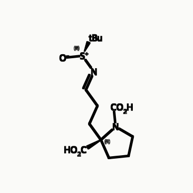 CC(C)(C)[S@+]([O-])N=CCC[C@@]1(C(=O)O)CCCN1C(=O)O